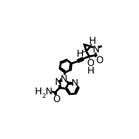 CN1C(=O)[C@@](O)(C#Cc2cccc(-n3nc(C(N)=O)c4cccnc43)c2)[C@H]2C[C@@H]21